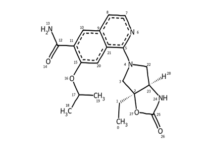 CC[C@]12CN(c3nccc4cc(C(N)=O)c(OC(C)C)cc34)C[C@H]1NC(=O)O2